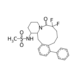 CS(=O)(=O)NC1CCCN2C(=O)C(F)(F)CCCc3c(cccc3-c3ccccc3)CC12